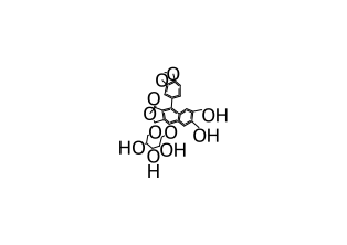 O=C1OCc2c1c(-c1ccc3c(c1)OCO3)c1cc(CO)c(CO)cc1c2OC1OCC(O)C(O)C1O